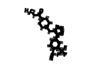 CCC(=O)N1CCN(Cc2nnnn2-c2ccc(C#N)c(C(F)(F)F)c2)CC1